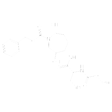 CC(C)CC(NC(=O)OC(C)(C)C)C(=O)N[C@H]1CC[C@@H](C)N(C(=O)OCc2ccccc2)CC1O